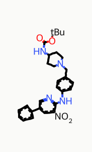 CC(C)(C)OC(=O)NC1CCN(Cc2ccc(Nc3ncc(-c4ccccc4)cc3[N+](=O)[O-])cc2)CC1